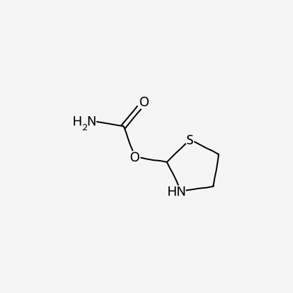 NC(=O)OC1NCCS1